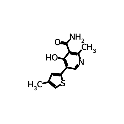 Cc1csc(-c2cnc(C)c(C(N)=O)c2O)c1